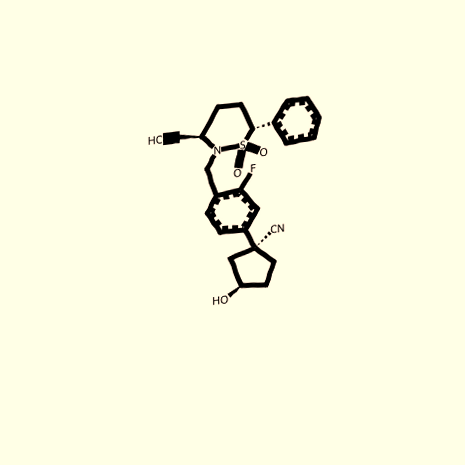 C#C[C@H]1CC[C@H](c2ccccc2)S(=O)(=O)N1Cc1ccc([C@@]2(C#N)CC[C@@H](O)C2)cc1F